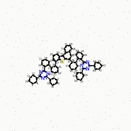 c1ccc(-c2nc(-c3ccccc3)nc(-c3ccccc3-c3ccccc3-c3cccc4c3sc3c(-c5ccccc5-c5ccccc5-c5nc(-c6ccccc6)nc(-c6ccccc6)n5)cc5ccccc5c34)n2)cc1